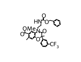 COC(=O)c1cc2c(cc1C)OC(C)(c1cccc(C(F)(F)F)c1)C(=O)N2CCNC(=O)OCc1ccccc1